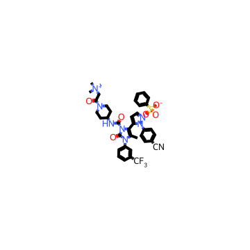 Cc1c(-c2ccnn2-c2ccc(C#N)cc2)n(C(=O)NC2CCN(C(=O)C[N+](C)(C)C)CC2)c(=O)n1-c1cccc(C(F)(F)F)c1.O=S(=O)([O-])c1ccccc1